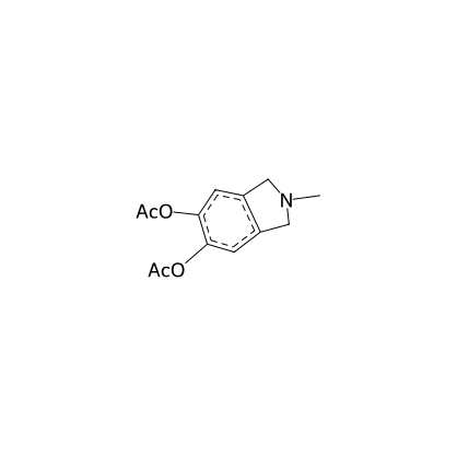 CC(=O)Oc1cc2c(cc1OC(C)=O)CN(C)C2